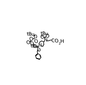 CC(C)(C)OC(=O)N(CCC(=O)O)C1CCN(C(=O)OCc2ccccc2)CC1.CC(C)(C)OC(=O)OC(=O)OC(C)(C)C